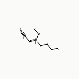 CCCC[PH](=CC#N)CC